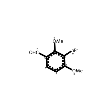 CCCc1c(OC)ccc(C=O)c1OC